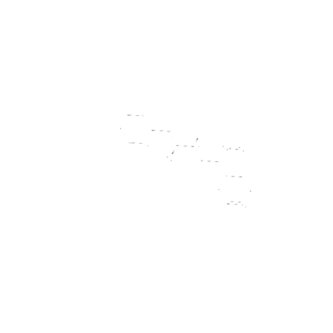 NNC(C[C@H](O)[C@@H](N)CC1CCCCC1)c1ccccc1